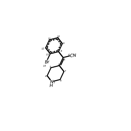 N#CC(=C1CCNCC1)c1ccccc1Br